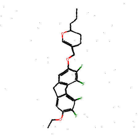 CCCC1CCC(COc2cc3c(c(F)c2F)-c2c(cc(OCC)c(F)c2F)C3)=CO1